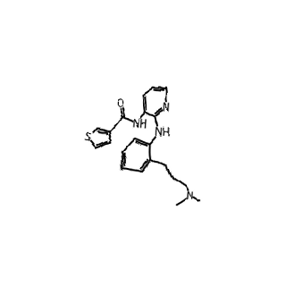 CN(C)CCCc1ccccc1Nc1ncccc1NC(=O)c1ccsc1